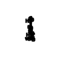 CCC[C@@H](NC(=O)C1(C)CSC(/C(C)=N/OC(=O)CCCCCNC(=O)OC(C)(C)C)=N1)c1cc(OCC2CC2)cc(=O)o1